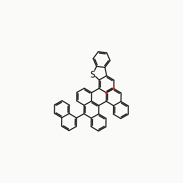 c1ccc2c(-c3c4ccccc4c(-c4cccc5ccccc45)c4c(-c5cccc6c5sc5ccccc56)cccc34)cccc2c1